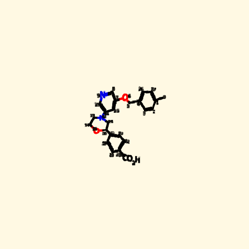 Cc1ccc(COc2cncc(N3CCOC(c4ccc(C(=O)O)cc4)C3)c2)cc1